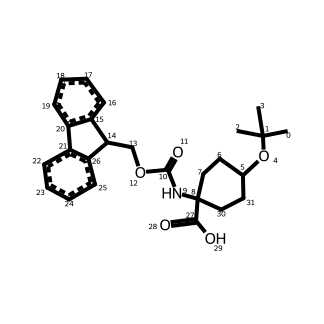 CC(C)(C)OC1CCC(NC(=O)OCC2c3ccccc3-c3ccccc32)(C(=O)O)CC1